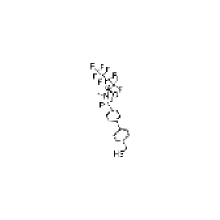 CN(C(F)(F)c1ccc(-c2ccc(CS)cc2)cc1)S(=O)(=O)C(F)(F)C(F)(F)C(F)(F)C(F)(F)F